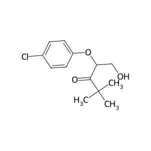 CC(C)(C)C(=O)C(CO)Oc1ccc(Cl)cc1